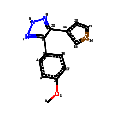 COc1ccc(C2=N[N]N=C2c2ccsc2)cc1